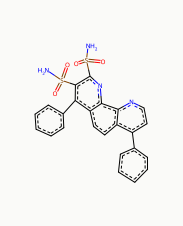 NS(=O)(=O)c1nc2c(ccc3c(-c4ccccc4)ccnc32)c(-c2ccccc2)c1S(N)(=O)=O